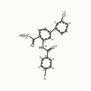 O=C(O)C(=O)c1ccc(-c2cccc(Cl)c2)cc1NC(=O)c1ccc(F)cc1